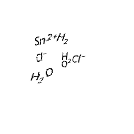 O.O.[Cl-].[Cl-].[SnH2+2]